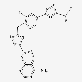 Nc1ncnc2cc(-c3nnn(Cc4ccc(-c5nnc(C(F)F)o5)cc4F)n3)ccc12